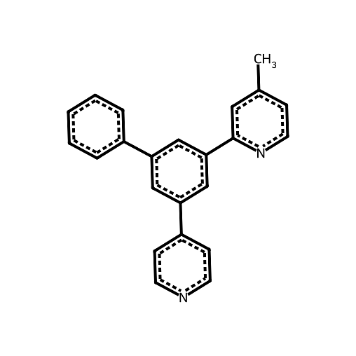 Cc1ccnc(-c2cc(-c3ccccc3)cc(-c3ccncc3)c2)c1